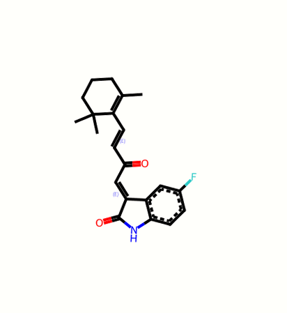 CC1=C(/C=C/C(=O)/C=C2/C(=O)Nc3ccc(F)cc32)C(C)(C)CCC1